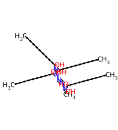 CC#CC#CC#CC#CC#CC#CC#CC#CC#CC(O)CN(CCN1CCN(CCN(CC(C)O)CC(O)C#CC#CC#CC#CC#CC#CC#CC#CC#CC)CC1)CCN(CC(O)C#CC#CC#CC#CC#CC#CC#CC#CC#CC)CC(O)C#CC#CC#CC#CC#CC#CC#CC#CC#CC